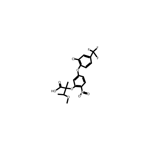 COC(C)C(C)(Oc1cc(Oc2ccc(C(F)(F)F)cc2Cl)ccc1[N+](=O)[O-])C(=O)O